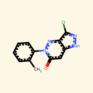 Cc1ccccc1-n1nc2c(Cl)n[nH]c2cc1=O